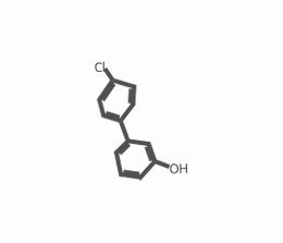 Oc1[c]ccc(-c2ccc(Cl)cc2)c1